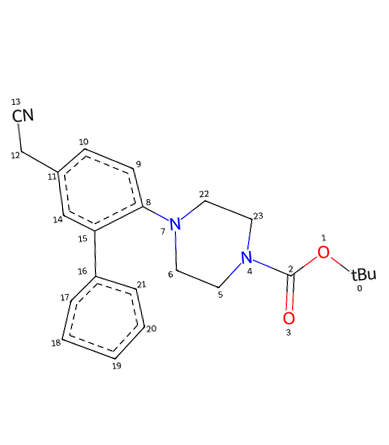 CC(C)(C)OC(=O)N1CCN(c2ccc(CC#N)cc2-c2ccccc2)CC1